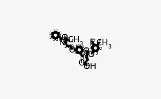 Cc1ccc(OC(=O)N(CC(=O)O)Cc2cccc(OCCc3nc(-c4ccccc4)oc3C)c2)cc1F